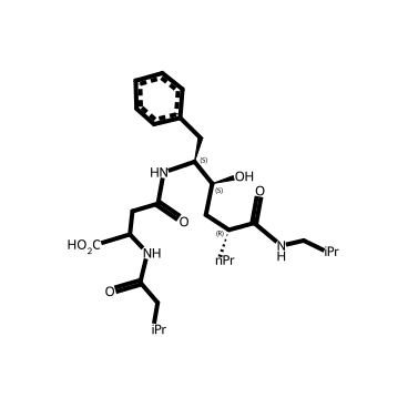 CCC[C@H](C[C@H](O)[C@H](Cc1ccccc1)NC(=O)CC(NC(=O)CC(C)C)C(=O)O)C(=O)NCC(C)C